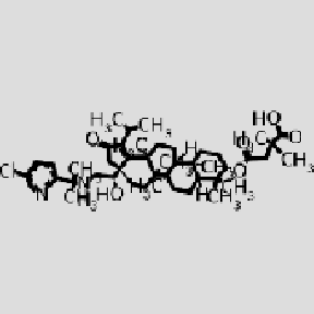 CC(C)C1=C2[C@@]([C@H](O)CNC(C)(C)c3ccc(Cl)cn3)(CC[C@]3(C)[C@]2(C)CC[C@@H]2[C@@]4(C)CC[C@H](OC(=O)CC(C)(C)C(=O)O)C(C)(C)[C@@H]4CC[C@]23C)CC1=O